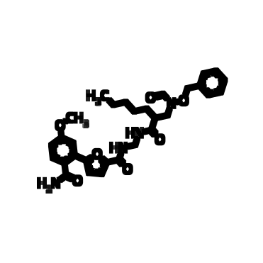 CCCCCC(CN(C=O)OCc1ccccc1)C(=O)NCNC(=O)c1ccc(-c2cc(OC)ccc2C(N)=O)o1